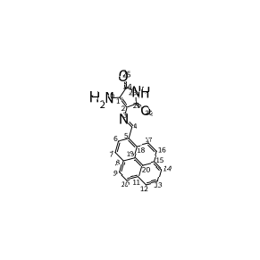 NC1=C(N=Cc2ccc3ccc4cccc5ccc2c3c45)C(=O)NC1=O